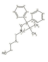 CC(C)(C)[Si](OCCSCCO)(c1ccccc1)c1ccccc1